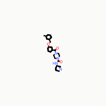 Cc1cccc(COc2cccc(C(=O)N3CCN(C(=O)Nc4cccnc4)CC3)c2)c1